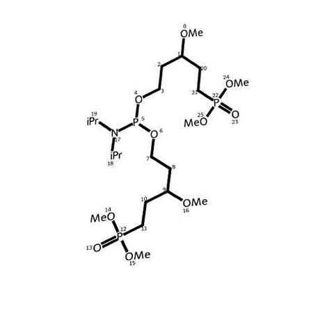 COC(CCOP(OCCC(CCP(=O)(OC)OC)OC)N(C(C)C)C(C)C)CCP(=O)(OC)OC